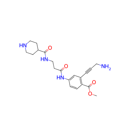 COC(=O)c1ccc(NC(=O)CCNC(=O)C2CCNCC2)cc1C#CCN